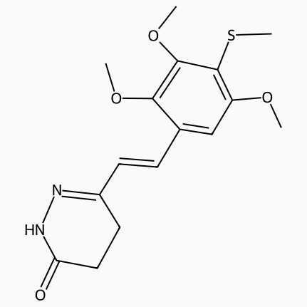 COc1cc(C=CC2=NNC(=O)CC2)c(OC)c(OC)c1SC